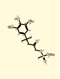 COP(C)(=O)OCC(=O)CC(C)(C)c1cc(C(C)(C)C)c(O)c(C(C)(C)C)c1